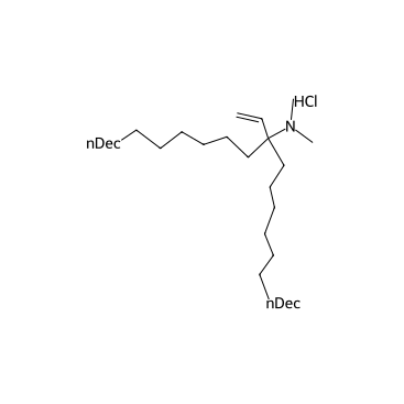 C=CC(CCCCCCCCCCCCCCCC)(CCCCCCCCCCCCCCCC)N(C)C.Cl